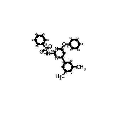 Cc1cc(C)cc(-c2cc(Oc3ccccc3)nc(NS(=O)(=O)c3ccccc3)n2)c1